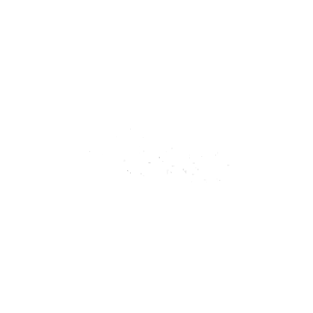 COC1C=CC=C2C(C(=O)NC3CC4CCCC(C3)N4C)=NN=C21